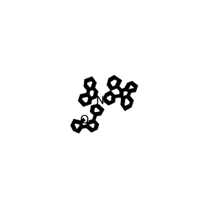 c1ccc(-c2c(-c3ccc(N(c4ccc(-c5cccc6c5oc5ccccc56)cc4)c4cc5ccccc5c5ccccc45)cc3)c3ccccc3c3ccccc23)cc1